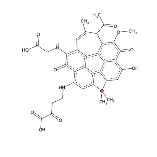 COc1c2c3c4c(c(NCC(=O)O)c(=O)c5c(NCCC(=O)C(=O)O)cc(OC)c(c6c(OC)cc(O)c(c1=O)c63)c54)C=C(C)C2C(C)=O